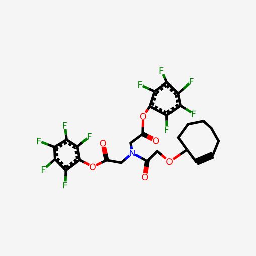 O=C(CN(CC(=O)Oc1c(F)c(F)c(F)c(F)c1F)C(=O)COC1C#CCCCCC1)Oc1c(F)c(F)c(F)c(F)c1F